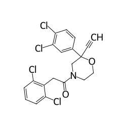 C#CC1(c2ccc(Cl)c(Cl)c2)CN(C(=O)Cc2c(Cl)cccc2Cl)CCO1